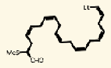 CC/C=C\C/C=C\C/C=C\C/C=C\C/C=C\C/C=C\CC(C=O)SC